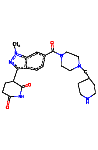 Cn1nc(C2CCC(=O)NC2=O)c2ccc(C(=O)N3CCN(CC4CCNCC4)CC3)cc21